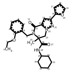 CCOc1ccccc1CN1C(=O)c2cc(-c3ccco3)nn2CC1(C)C(=O)NC1CCCCC1